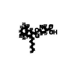 CCCCCCc1cc2c(cc1C(=O)Oc1ccc(C(=O)O)cn1)C(C)(C)CCC2(C)C